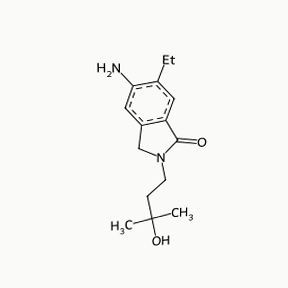 CCc1cc2c(cc1N)CN(CCC(C)(C)O)C2=O